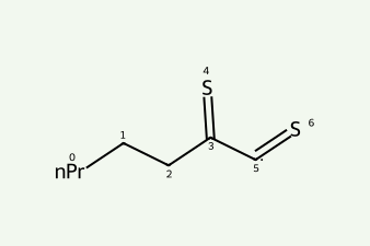 CCCCCC(=S)[C]=S